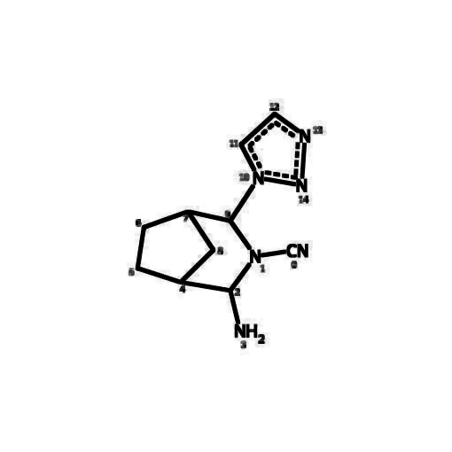 N#CN1C(N)C2CCC(C2)C1n1ccnn1